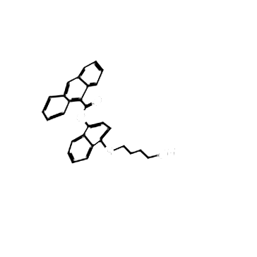 CCCCCSc1ccc(OC(=O)c2c3ccccc3cc3ccccc23)c2ccccc12